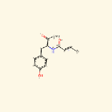 COC(=O)C(Cc1ccc(O)cc1)NC(=O)/C=C/C(C)C